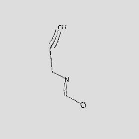 C#CCN=CCl